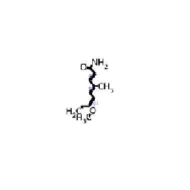 C=C\C(=C/C=C(C)/C=C/C(N)=O)OC